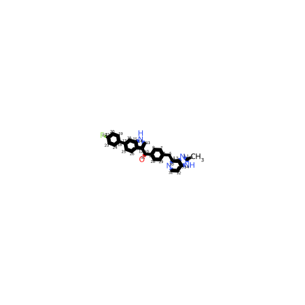 Cc1nc2c(Cc3ccc(C(=O)c4c[nH]c5cc(-c6ccc(F)cc6)ccc45)cc3)nccc2[nH]1